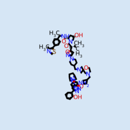 Cc1ncsc1-c1ccc([C@H](C)NC(=O)[C@@H]2C[C@@H](O)CN2C(=O)[C@@H](c2cc(N3CCC(CN4CC5(CN(CC6CC(Oc7cc(N8C9CCC8CN(c8cc(-c%10ccccc%10O)nnc8N)C9)ccn7)C6)CCO5)C4)CC3)no2)C(C)C)cc1